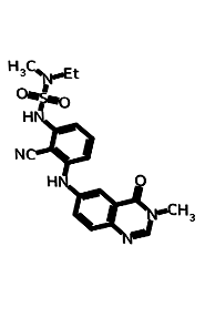 CCN(C)S(=O)(=O)Nc1cccc(Nc2ccc3ncn(C)c(=O)c3c2)c1C#N